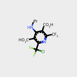 CC(C)Nc1c(C(=O)O)c(C(F)(F)F)nc(C(F)(F)Cl)c1C(=O)O